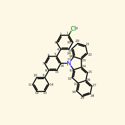 Clc1ccc(-c2ccc(-c3ccccc3)cc2-n2c3ccccc3c3cc4ccccc4cc32)cc1